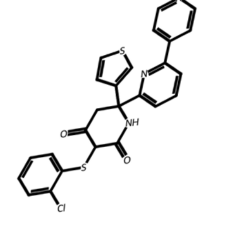 O=C1CC(c2ccsc2)(c2cccc(-c3ccncc3)n2)NC(=O)C1Sc1ccccc1Cl